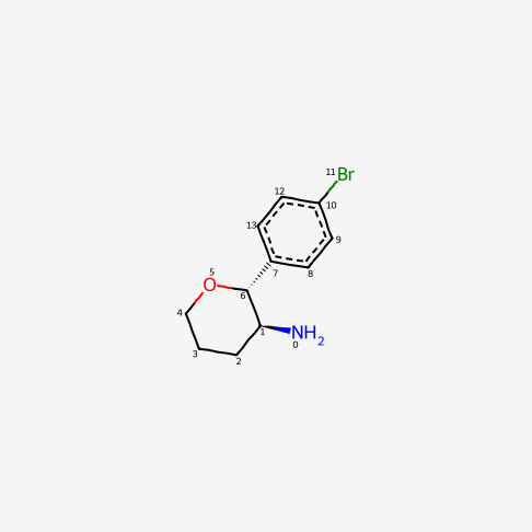 N[C@H]1CCCO[C@@H]1c1ccc(Br)cc1